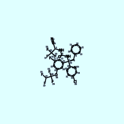 N#CC(NC(=O)N[C@@](Cc1ccccc1)(c1cc(F)cc(OC(F)(F)C(F)F)c1)c1ccc(Cl)cn1)C(F)(F)F